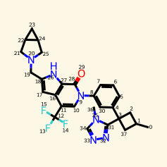 CC1CC(c2cccc(-n3cc(C(F)(F)F)c4cc(CN5CC6CC6C5)[nH]c4c3=O)c2)(c2nncn2C)C1